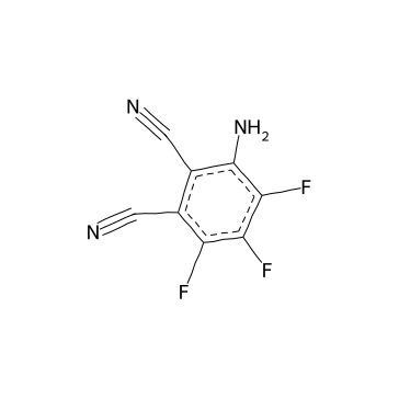 N#Cc1c(N)c(F)c(F)c(F)c1C#N